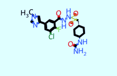 Cn1cnc(-c2cc(Cl)c(F)c(C(=O)NNS(=O)(=O)C[C@H]3CC[C@@H](NC(N)=O)CC3)c2)c1